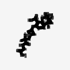 CC(N)(CN1CC(Oc2ccc3c(c2C(=O)O)O[B-](O)(O)[C@H]2C[C@@H]32)C1)C(=O)NCC([NH3+])=O